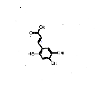 O=C(O)/C=C/c1cc(O)c(O)cc1O